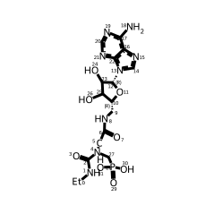 CCNC(=O)N(CC(=O)NC[C@H]1O[C@@H](n2cnc3c(N)ncnc32)C(O)C1O)CP(=O)(O)O